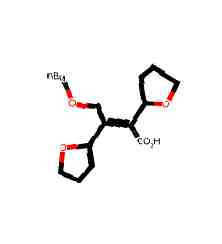 CCCCOC/C(=C(/C(=O)O)C1CCCO1)C1CCCO1